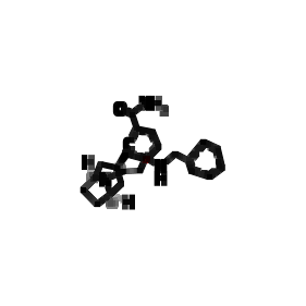 NC(=O)c1cccc([C@H]2C[C@H]3CC[C@@H](C2)N3CCCNCc2ccccc2)c1